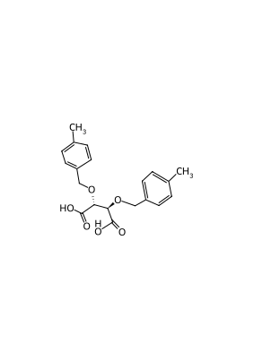 Cc1ccc(CO[C@@H](C(=O)O)[C@@H](OCc2ccc(C)cc2)C(=O)O)cc1